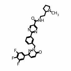 CN1CCCC1CCNC(=O)c1cnc(-c2cccc(Cn3nc(-c4cc(F)c(F)c(F)c4)ccc3=O)c2)nc1